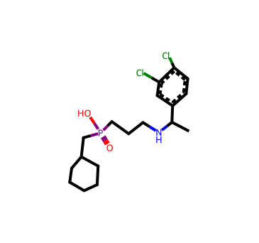 CC(NCCCP(=O)(O)CC1CCCCC1)c1ccc(Cl)c(Cl)c1